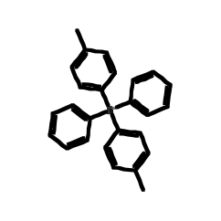 Cc1ccc([B-](c2ccccc2)(c2ccccc2)c2ccc(C)cc2)cc1